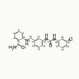 NC(=O)c1ccccc1NCc1cccc(NC(=O)Nc2cccc(Cl)c2)c1